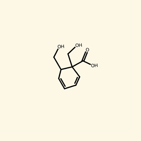 O=C(O)C1(CO)C=CC=CC1CO